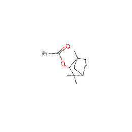 CC(C)C(=O)OC1C2(C)CCC(C2)C1(C)C